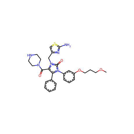 COCCCOc1cccc(-n2c(-c3ccccc3)c(C(=O)N3CCNCC3)n(Cc3csc(N)n3)c2=O)c1